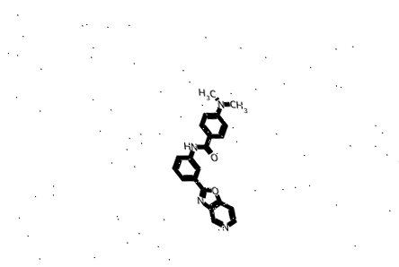 CN(C)c1ccc(C(=O)Nc2cccc(-c3nc4cnccc4o3)c2)cc1